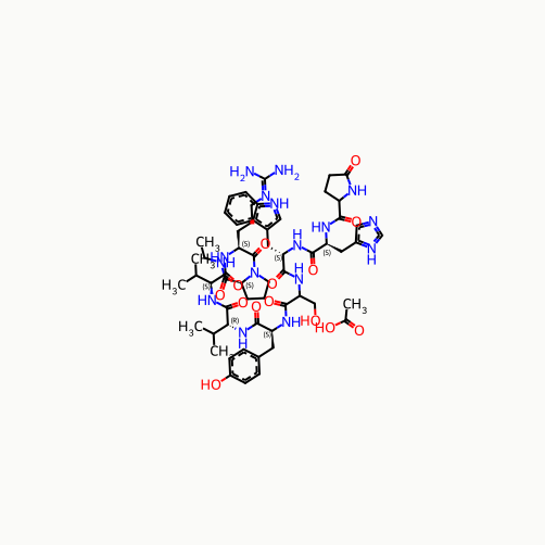 CC(=O)O.CCNC(=O)[C@@H]1CCCN1C(=O)[C@H](CCCN=C(N)N)NC(=O)[C@@H](NC(=O)[C@H](NC(=O)[C@H](Cc1ccc(O)cc1)NC(=O)C(CO)NC(=O)[C@H](Cc1c[nH]c2ccccc12)NC(=O)[C@H](Cc1cnc[nH]1)NC(=O)C1CCC(=O)N1)C(C)C)C(C)C